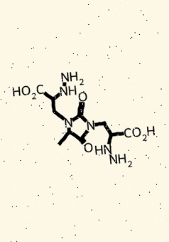 CC1C(=O)N(CC(NN)C(=O)O)C(=O)N1CC(NN)C(=O)O